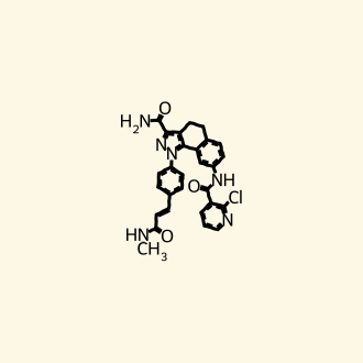 CNC(=O)C=Cc1ccc(-n2nc(C(N)=O)c3c2-c2cc(NC(=O)c4cccnc4Cl)ccc2CC3)cc1